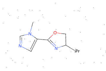 CC(C)C1COC(c2cncn2C)=N1